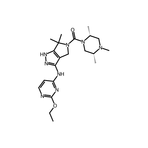 CCOc1nccc(Nc2n[nH]c3c2CN(C(=O)N2C[C@@H](C)N(C)C[C@H]2C)C3(C)C)n1